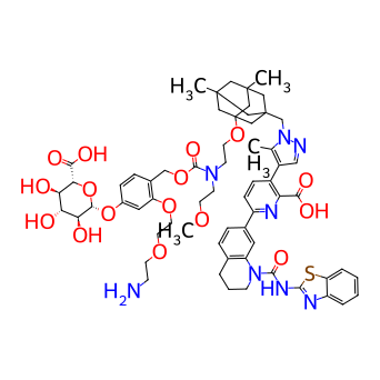 COCCN(CCOC12CC3(C)CC(C)(CC(Cn4ncc(-c5ccc(-c6ccc7c(c6)N(C(=O)Nc6nc8ccccc8s6)CCC7)nc5C(=O)O)c4C)(C3)C1)C2)C(=O)OCc1ccc(O[C@H]2O[C@@H](C(=O)O)[C@H](O)[C@@H](O)[C@@H]2O)cc1OCCOCCN